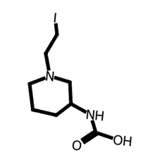 O=C(O)NC1CCCN(CCI)C1